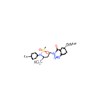 CCc1ccc(N(C(CCn2nnc3ccc(OC)cc3c2=O)C(=O)O)S(C)(=O)=O)cc1